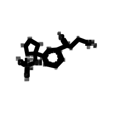 NCCC(=O)c1cccc(C2(N[SH](=O)=O)CCCC2)c1